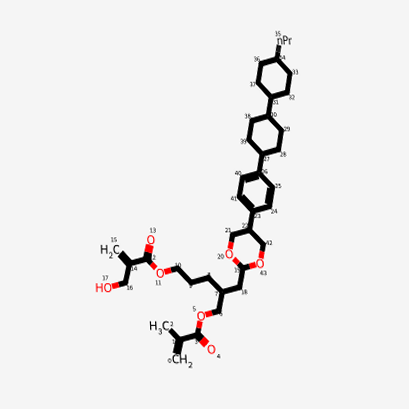 C=C(C)C(=O)OCC(CCCOC(=O)C(=C)CO)CC1OCC(c2ccc(C3CCC(C4CCC(CCC)CC4)CC3)cc2)CO1